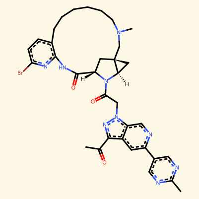 CC(=O)c1nn(CC(=O)N2[C@H]3C[C@]4(C[C@@H]24)CN(C)CCCCCCc2ccc(Br)nc2NC3=O)c2cnc(-c3cnc(C)nc3)cc12